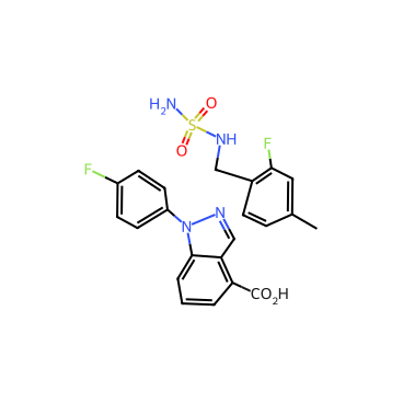 Cc1ccc(CNS(N)(=O)=O)c(F)c1.O=C(O)c1cccc2c1cnn2-c1ccc(F)cc1